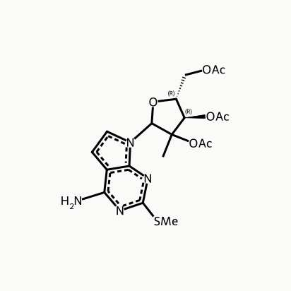 CSc1nc(N)c2ccn(C3O[C@H](COC(C)=O)[C@@H](OC(C)=O)C3(C)OC(C)=O)c2n1